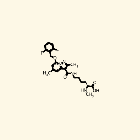 CN[C@@H](CCCCNC(=O)c1c(C)nn2c(OCc3c(F)cccc3F)cc(C)cc12)C(=O)O